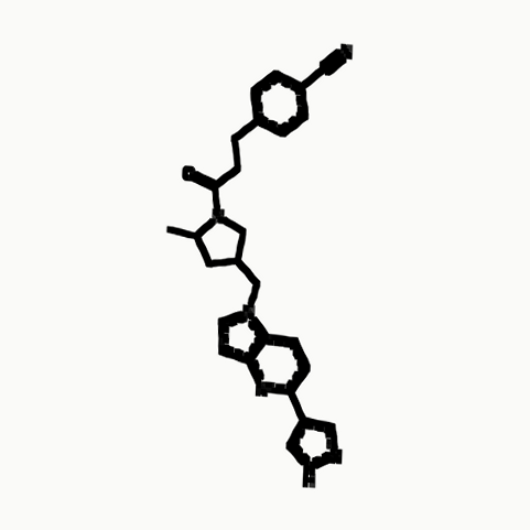 CC1CC(Cn2ccc3nc(-c4cn[nH]c4)ccc32)CN1C(=O)CCc1ccc(C#N)cc1